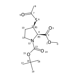 COC(=O)[C@@H]1[C@H](SC(C)=O)CCN1C(=O)OC(C)(C)C